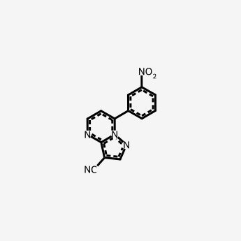 N#Cc1cnn2c(-c3cccc([N+](=O)[O-])c3)ccnc12